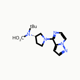 CC(C)(C)N(C(=O)O)[C@H]1CCN(c2nccn3nccc23)C1